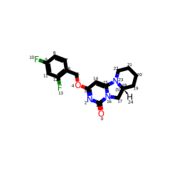 O=c1nc(OCc2ccc(F)cc2F)cc2n1C[C@@H]1CCCCN21